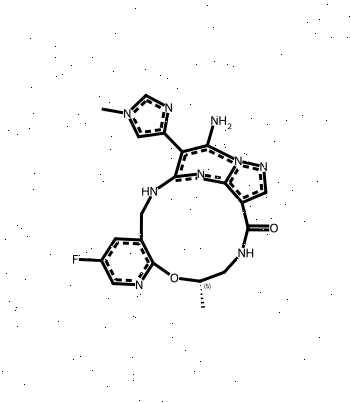 C[C@H]1CNC(=O)c2cnn3c(N)c(-c4cn(C)cn4)c(nc23)NCc2cc(F)cnc2O1